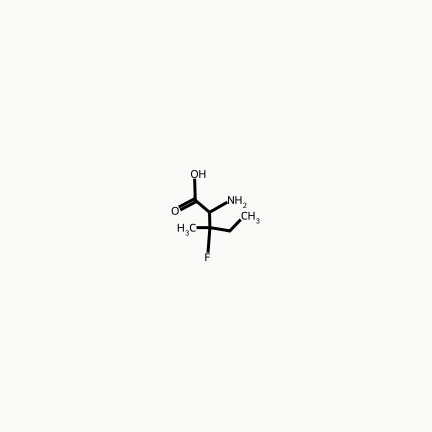 CCC(C)(F)C(N)C(=O)O